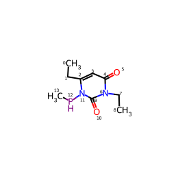 CCc1cc(=O)n(CC)c(=O)n1PC